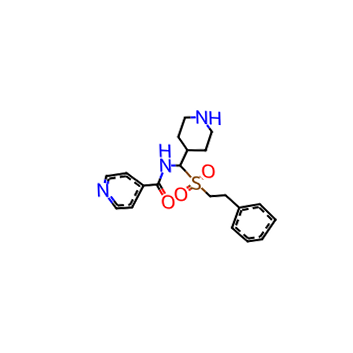 O=C(NC(C1CCNCC1)S(=O)(=O)CCc1ccccc1)c1ccncc1